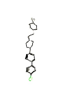 CC[C@H]1CC[C@H](CCC2CCC(c3ccc(-c4ccc(Cl)cc4)cc3)CC2)CC1